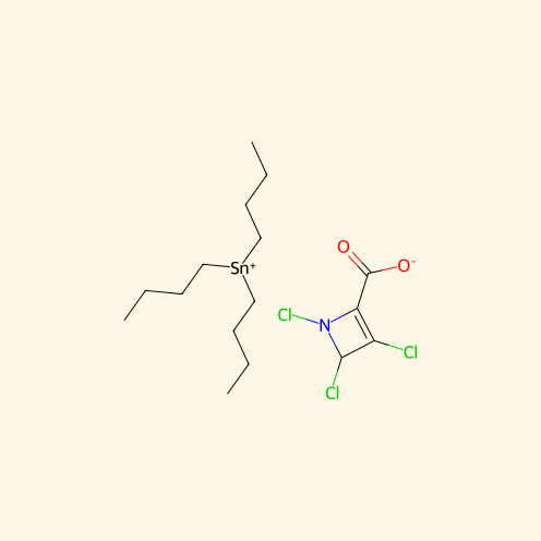 CCC[CH2][Sn+]([CH2]CCC)[CH2]CCC.O=C([O-])C1=C(Cl)C(Cl)N1Cl